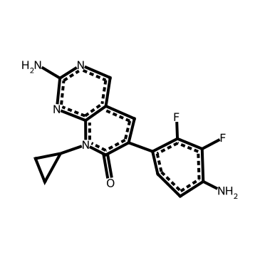 Nc1ncc2cc(-c3ccc(N)c(F)c3F)c(=O)n(C3CC3)c2n1